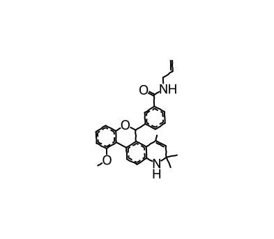 C=CCNC(=O)c1cccc(C2Oc3cccc(OC)c3-c3ccc4c(c32)C(C)=CC(C)(C)N4)c1